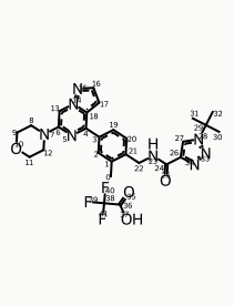 Cc1cc(-c2nc(N3CCOCC3)cn3nccc23)ccc1CNC(=O)c1cn(C(C)(C)C)nn1.O=C(O)C(F)(F)F